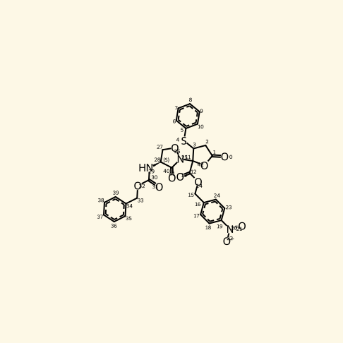 O=C1CC(Sc2ccccc2)C(C(=O)OCc2ccc([N+](=O)[O-])cc2)(N2OC[C@H](NC(=O)OCc3ccccc3)C2=O)O1